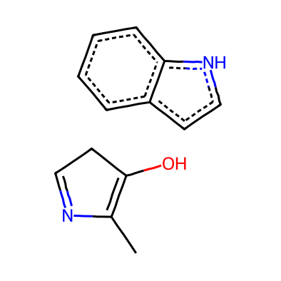 CC1=C(O)CC=N1.c1ccc2[nH]ccc2c1